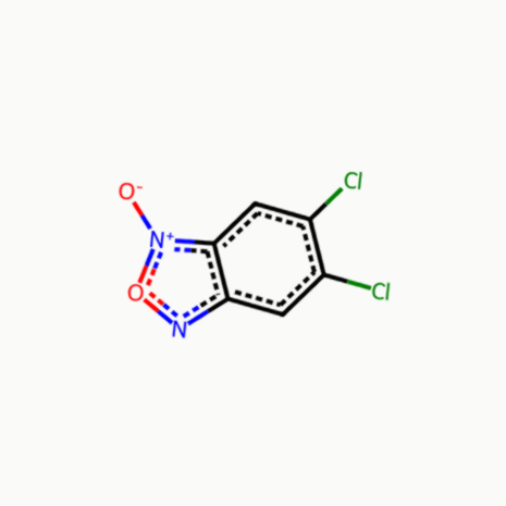 [O-][n+]1onc2cc(Cl)c(Cl)cc21